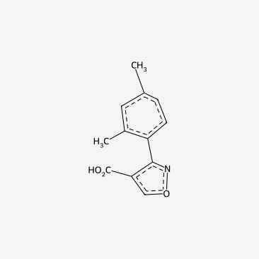 Cc1ccc(-c2nocc2C(=O)O)c(C)c1